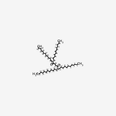 CCCCCCCCCCCCN(CCCCCCCCCCCC)C(=O)CCC(=O)N(CCCCCCCCCCCC)CCCCCCCCCCCC